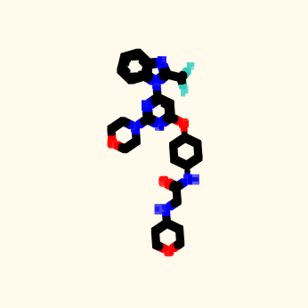 O=C(CNC1CCOCC1)N[C@H]1CC[C@H](Oc2cc(-n3c(C(F)F)nc4ccccc43)nc(N3CCOCC3)n2)CC1